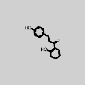 O=C(CCc1ccc(O)cc1)C1=C(O)CCC=C1